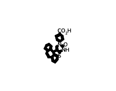 O=C(O)c1ccc(-n2cc(C3c4ccccc4C=Cc4ccccc43)c(=S)[nH]c2=O)cc1